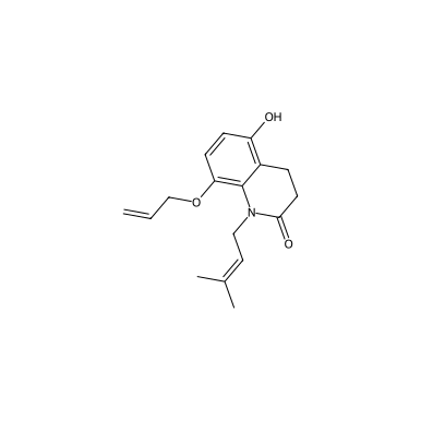 C=CCOc1ccc(O)c2c1N(CC=C(C)C)C(=O)CC2